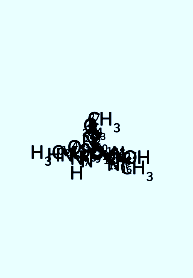 CCNC(=O)Nc1nc2cc(-c3cnc([C@@H](C)O)nc3)cc(-c3ccc(OC)cn3)c2s1